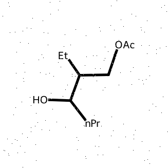 CCCC(O)C(CC)COC(C)=O